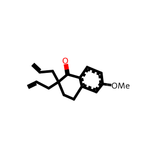 C=CCC1(CC=C)CCc2cc(OC)ccc2C1=O